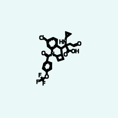 O=CCC(NC1CC1)(C(=O)O)C1c2ccc(Cl)cc2N(C(=O)c2ccc(OC(F)(F)F)cc2)C2CCC21